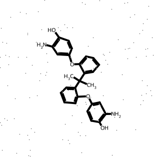 CC(C)(c1ccccc1Oc1ccc(O)c(N)c1)c1ccccc1Oc1ccc(O)c(N)c1